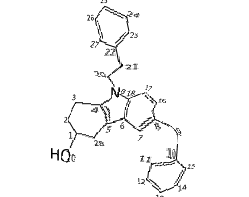 OC1CCc2c(c3cc(Cc4ccccc4)ccc3n2CCc2ccccc2)C1